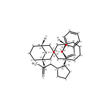 CC(=O)CN1CCC[C@H]1c1nc2ccccc2n1[C@H]1C[C@H]2CCC[C@@H](C1)N2[C@@H]1C[C@@H]2CCCC[C@@H](C2)C1